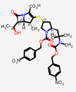 C[C@@H](O)[C@H]1C(=O)N2C(C(=O)O)=C(S[C@H]3C[C@@H](CC(C)(C)N(C)C(=O)OCc4ccc([N+](=O)[O-])cc4)N(C(=O)OCc4ccc([N+](=O)[O-])cc4)C3)[C@H](C)[C@H]12